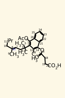 CC(=O)Oc1c(C(C)(C)C/C=C(\C)CC(C)C)c(C)c(OC(=O)CCC(=O)O)c2ccccc12